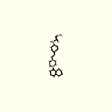 CCC(=O)NC1CCC(CCN2CCN(C3CCCC4CCCCC43)CC2)CC1